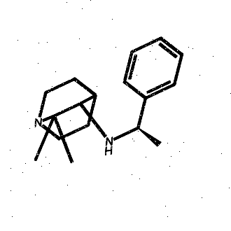 C[C@@H](NC1C2CCN(CC2)C1(C)C)c1ccccc1